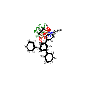 CSNS(=O)(=O)C(F)(F)C(F)(F)C(F)(F)S(=O)(=O)Oc1c(C2CCCCC2)cc(C2CCCCC2)cc1C1CCCCC1